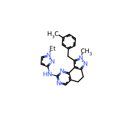 CCn1ccc(Nc2ncc3c(n2)-c2c(nn(C)c2Cc2cccc(C)c2)CC3)n1